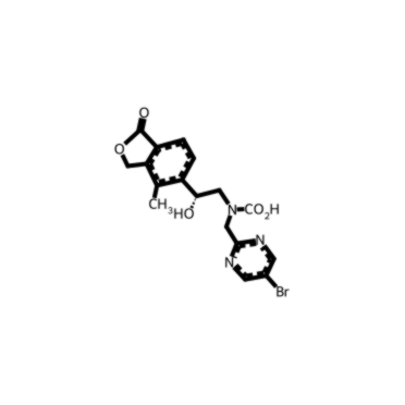 Cc1c([C@@H](O)CN(Cc2ncc(Br)cn2)C(=O)O)ccc2c1COC2=O